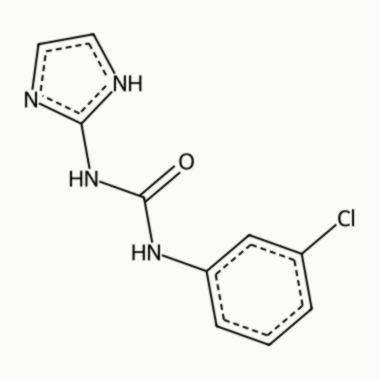 O=C(Nc1cccc(Cl)c1)Nc1ncc[nH]1